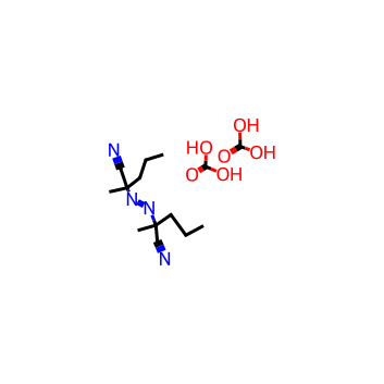 CCCC(C)(C#N)N=NC(C)(C#N)CCC.O=C(O)O.O=C(O)O